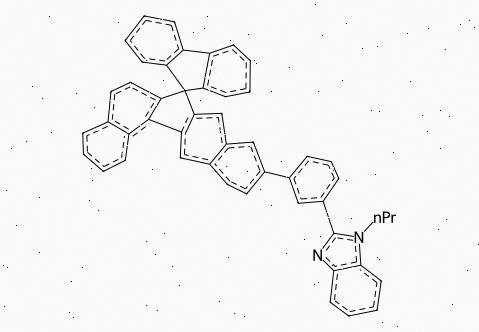 CCCn1c(-c2cccc(-c3ccc4cc5c(cc4c3)C3(c4ccccc4-c4ccccc43)c3ccc4ccccc4c3-5)c2)nc2ccccc21